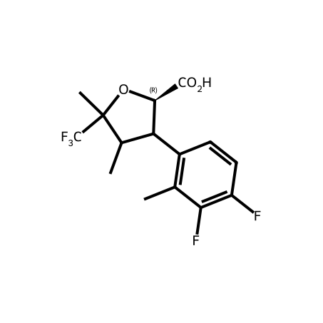 Cc1c(C2C(C)C(C)(C(F)(F)F)O[C@H]2C(=O)O)ccc(F)c1F